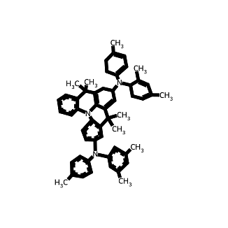 CC1=CCC(N(C2=CC=C(C)CC2)C2C=C3C4=C(C2)C(C)(C)c2ccccc2N4c2ccc(N(c4ccc(C)cc4)c4cc(C)cc(C)c4)cc2C3(C)C)C(C)=C1